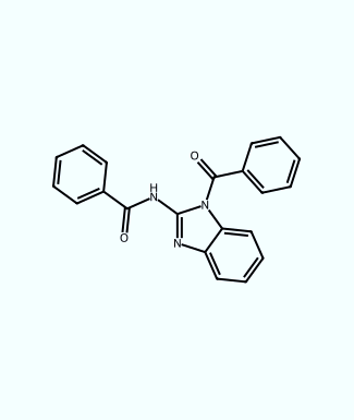 O=C(Nc1nc2ccccc2n1C(=O)c1ccccc1)c1ccccc1